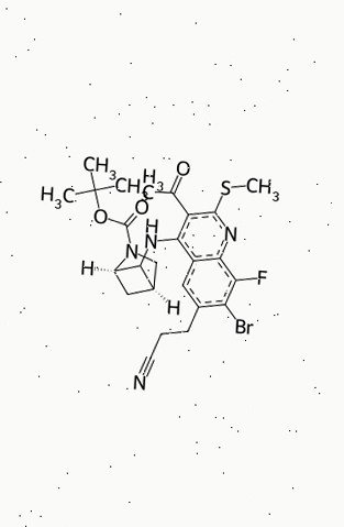 CSc1nc2c(F)c(Br)c(CCC#N)cc2c(NC2[C@@H]3C[C@H]2N(C(=O)OC(C)(C)C)C3)c1C(C)=O